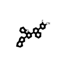 N#Cc1ccc(-c2ccc(-c3ccc(-c4ccc5ccccc5c4)c4c3oc3ccccc34)c3ccccc23)cc1F